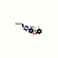 COCCN1CCN(c2ccc(S(=O)(=O)Cc3cccc(F)c3)cc2[N+](=O)[O-])CC1